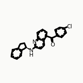 O=C(c1ccc(Cl)cc1)c1cccc2nc(N[C@@H]3CCc4ccccc43)ccc12